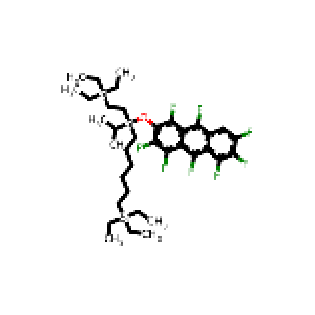 CC[Si](CC)(CC)CCCCCC[Si](CC[Si](CC)(CC)CC)(Oc1c(F)c(F)c2c(F)c3c(F)c(F)c(F)[c]c3c(F)c2c1F)C(C)C